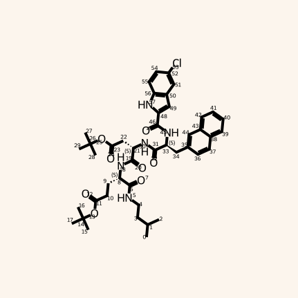 CC(C)CCNC(=O)[C@H](CCC(=O)OC(C)(C)C)NC(=O)[C@H](CC(=O)OC(C)(C)C)NC(=O)[C@H](Cc1ccc2ccccc2c1)NC(=O)c1cc2cc(Cl)ccc2[nH]1